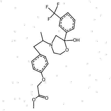 COC(=O)COc1ccc(CC(C)N2CCOC(O)(c3cccc(C(F)(F)F)c3)C2)cc1